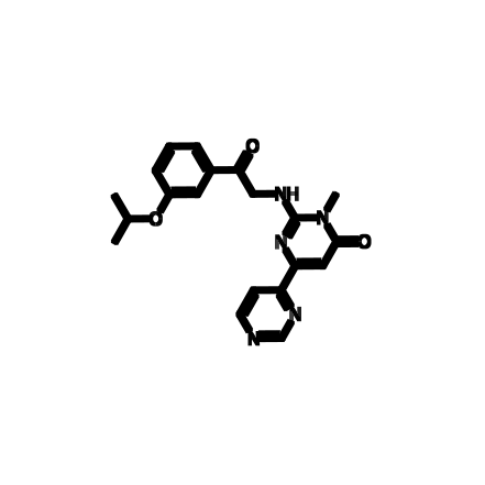 CC(C)Oc1cccc(C(=O)CNc2nc(-c3ccncn3)cc(=O)n2C)c1